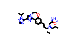 CCCN(CC(N)=O)[C@H](CC)CCc1ccc2c(c1)OCCn1cc(-c3ncnn3C(C)C)nc1-2